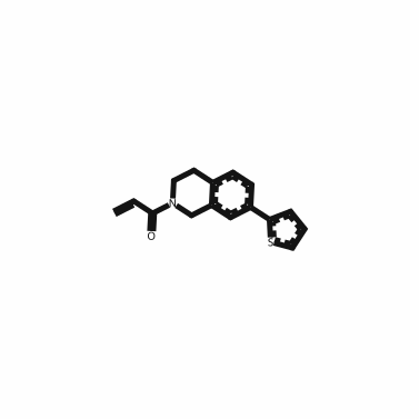 C=CC(=O)N1CCc2ccc(-c3cccs3)cc2C1